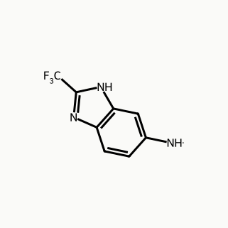 [NH]c1ccc2nc(C(F)(F)F)[nH]c2c1